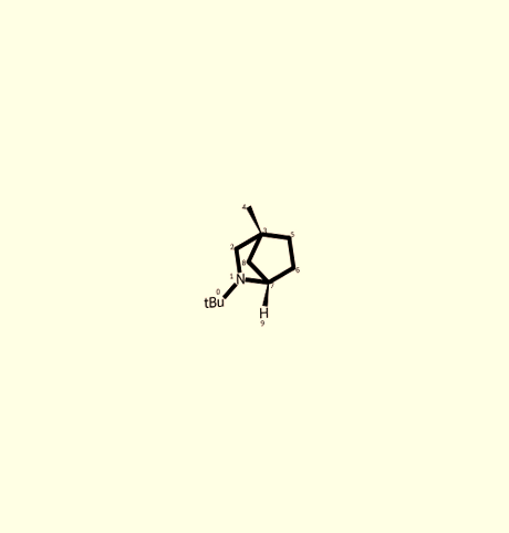 CC(C)(C)N1C[C@]2(C)CC[C@H]1C2